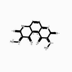 O=C1N=C2C=CC3NC(=O)C(=NO)C(=O)C3=C2C(=O)C1=NO